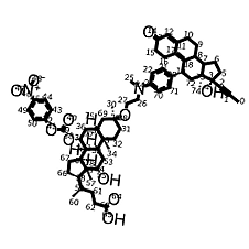 CC#C[C@@]1(O)CCC2C3CCC4=CC(=O)CCC4=C3[C@H](c3ccc(N(C)CCO[C@@]4(C)CC[C@@]5(C)[C@H](C[C@@H](OC(=O)Oc6ccc([N+](=O)[O-])cc6)[C@@H]6[C@@H]5C[C@H](O)[C@]5(C)[C@@H]([C@H](C)CCC(=O)O)CC[C@@H]65)C4)cc3)C[C@@]21C